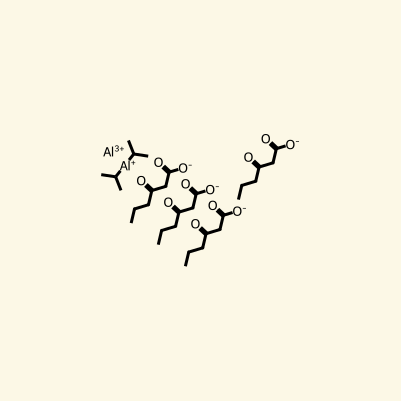 CCCC(=O)CC(=O)[O-].CCCC(=O)CC(=O)[O-].CCCC(=O)CC(=O)[O-].CCCC(=O)CC(=O)[O-].C[CH](C)[Al+][CH](C)C.[Al+3]